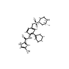 C[C@@H]1CN(S(=O)(=O)Cc2ccc(NC(=O)c3nc(C#N)c[nH]3)c(C3=CCCCC3)c2)CCN1